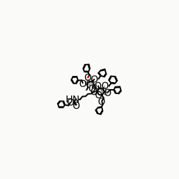 CC1O[C@@H](OC2[C@H](OCCCCCNC(=O)OCc3ccccc3)OC(COCc3ccccc3)[C@H](OCc3ccccc3)[C@H]2OCc2ccccc2)C(OCc2ccccc2)[C@@H](OCc2ccccc2)[C@H]1OCc1ccccc1